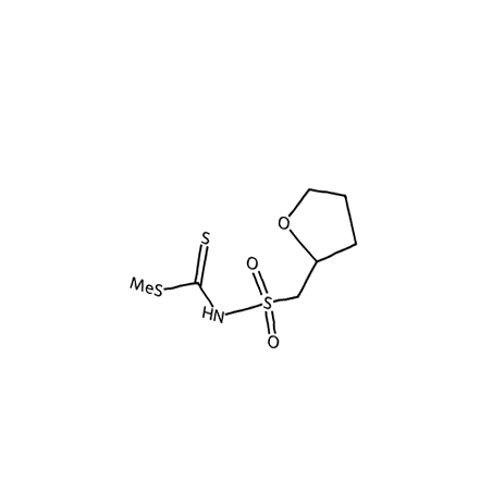 CSC(=S)NS(=O)(=O)CC1CCCO1